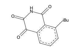 CCC(C)c1cccc2c1C(=O)NC(=O)C2=O